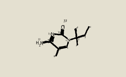 CCC(C)(C)n1cc(C)c(N)nc1=O